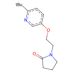 CC(C)(C)c1ccc(OCCN2CCCC2=O)cn1